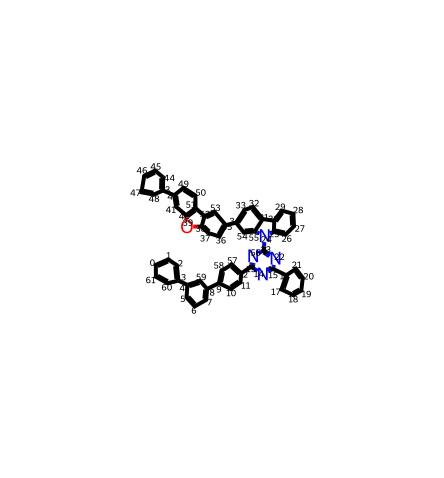 c1ccc(-c2cccc(-c3ccc(-c4nc(-c5ccccc5)nc(-n5c6ccccc6c6ccc(-c7ccc8oc9cc(-c%10ccccc%10)ccc9c8c7)cc65)n4)cc3)c2)cc1